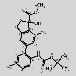 COC(=O)C1(O)CCc2cc(-c3cc(Cl)ccc3NC(=O)OC(C)(C)C)c[n+]([O-])c21